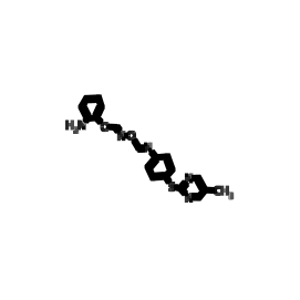 Cc1cnc(Sc2ccc(/N=C/O/N=C/Oc3ccccc3N)cc2)nc1